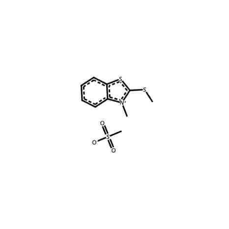 CS(=O)(=O)[O-].CSc1sc2ccccc2[n+]1C